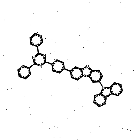 c1ccc(-c2nc(-c3ccccc3)nc(-c3ccc(-c4ccc5c(c4)oc4ccc(-n6c7ccccc7c7ccccc76)cc45)cc3)n2)cc1